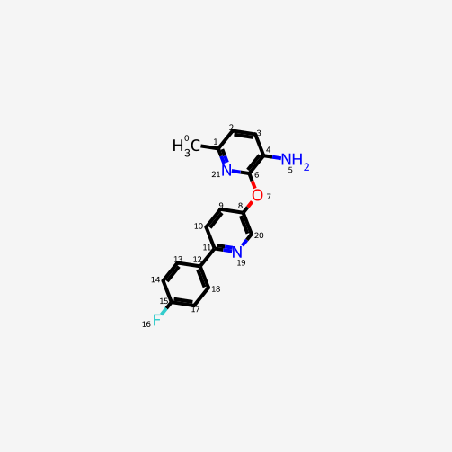 Cc1ccc(N)c(Oc2ccc(-c3ccc(F)cc3)nc2)n1